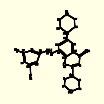 O=c1cc(N2CCOCC2)oc2c(CNc3cc(F)cc(F)c3)cc(N3CCOCC3)cc12